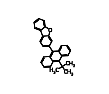 CC(C)(C)c1c2ccccc2c(-c2ccc3c(c2)oc2ccccc23)c2ccccc12